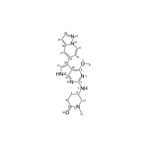 COc1nc(NC2CCC(=O)N(C)C2)nc2[nH]cc(-c3ccn4nccc4c3)c12